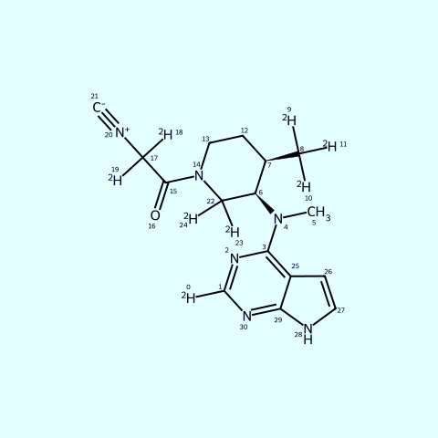 [2H]c1nc(N(C)[C@@H]2[C@H](C([2H])([2H])[2H])CCN(C(=O)C([2H])([2H])[N+]#[C-])C2([2H])[2H])c2cc[nH]c2n1